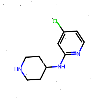 Clc1ccnc(NC2CCNCC2)c1